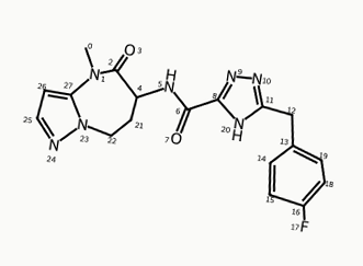 CN1C(=O)C(NC(=O)c2nnc(Cc3ccc(F)cc3)[nH]2)CCn2nccc21